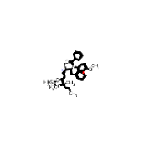 CCCC(C)(C)C(C/C=C(/F)C(Cc1ccccc1)N(C(=O)c1ccccc1)c1ccc(OC)cc1)O[SiH](C)C